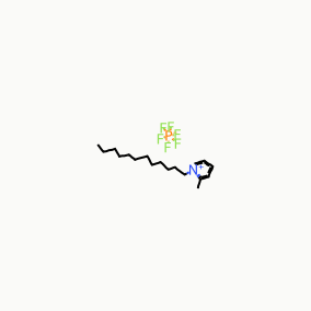 CCCCCCCCCCCC[n+]1ccccc1C.F[P-](F)(F)(F)(F)F